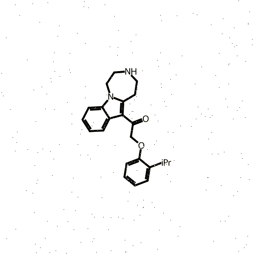 CC(C)c1ccccc1OCC(=O)c1c2n(c3ccccc13)CCNCC2